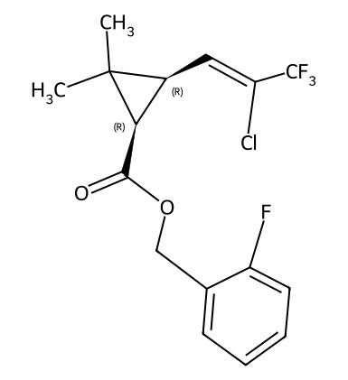 CC1(C)[C@H](C(=O)OCc2ccccc2F)[C@@H]1C=C(Cl)C(F)(F)F